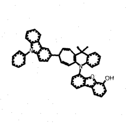 CC1(C)C2=C(C=CC(c3ccc4c(c3)c3ccccc3n4-c3ccccc3)C=C2)N(c2cccc3c2oc2c(O)cccc23)c2ccccc21